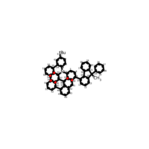 CC(C)(C)c1ccc(N(c2ccc(-c3cccc4c3-c3ccccc3C4(C)c3ccccc3)cc2)c2ccccc2-c2cccc3cccc(-c4ccccc4)c23)c(-c2ccccc2)c1